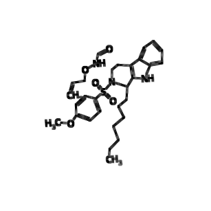 C=CCONC=O.CCCCCCCC1c2[nH]c3ccccc3c2CCN1S(=O)(=O)c1ccc(OC)cc1